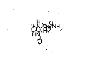 Cc1cn2c(C(N)=O)cccc2c1C1NC2=C(CC=CN=C2)C(NCc2ccccc2)N1